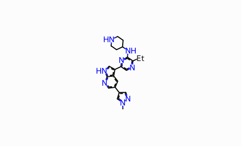 CCc1ncc(-c2c[nH]c3ncc(-c4cnn(C)c4)cc23)nc1NC1CCNCC1